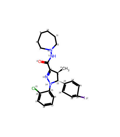 C[C@@H]1C(C(=O)NN2CCCCCC2)=NN(c2ccccc2Cl)[C@H]1c1ccc(I)cc1